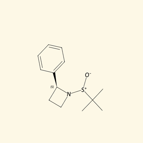 CC(C)(C)[S+]([O-])N1CC[C@H]1c1ccccc1